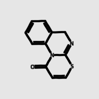 O=C1C=CSC2=NCc3ccccc3N12